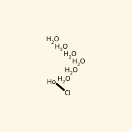 O.O.O.O.O.O.[Cl][Ho]